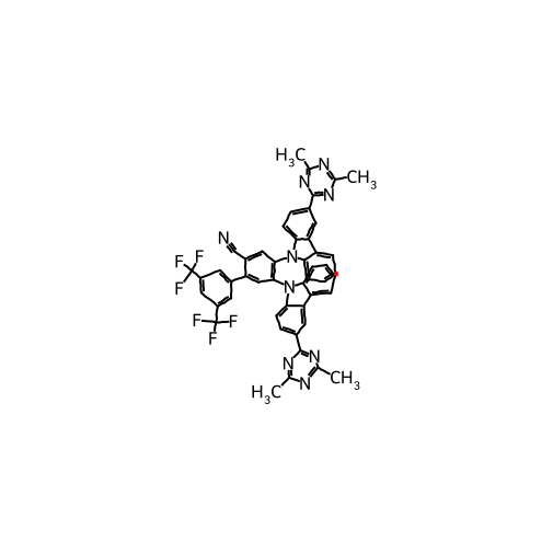 Cc1nc(C)nc(-c2ccc3c(c2)c2ccccc2n3-c2cc(C#N)c(-c3cc(C(F)(F)F)cc(C(F)(F)F)c3)cc2-n2c3ccccc3c3cc(-c4nc(C)nc(C)n4)ccc32)n1